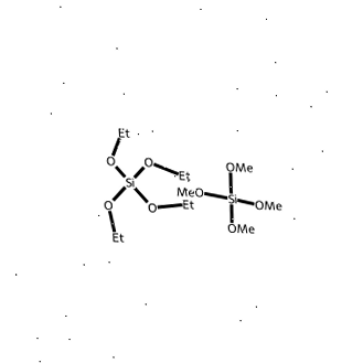 CCO[Si](OCC)(OCC)OCC.CO[Si](OC)(OC)OC